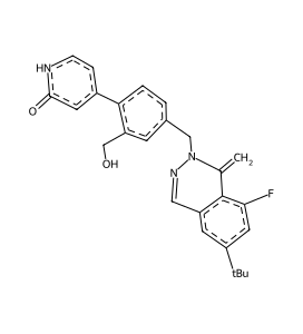 C=C1c2c(F)cc(C(C)(C)C)cc2C=NN1Cc1ccc(-c2cc[nH]c(=O)c2)c(CO)c1